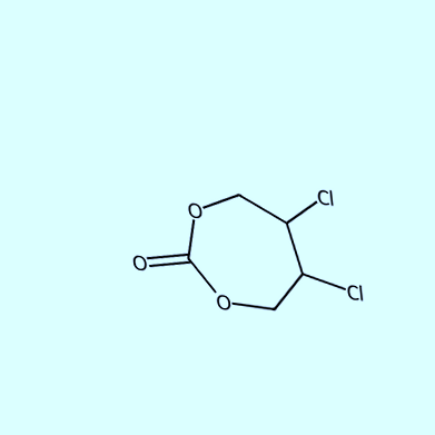 O=C1OCC(Cl)C(Cl)CO1